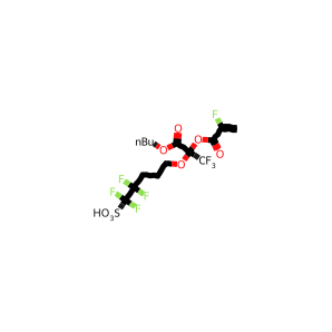 C=C(F)C(=O)OC(OCCCC(F)(F)C(F)(F)S(=O)(=O)O)(C(=O)OCCCC)C(F)(F)F